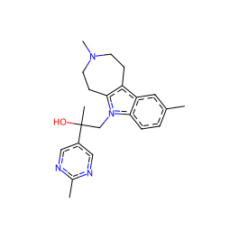 Cc1ccc2c(c1)c1c(n2CC(C)(O)c2cnc(C)nc2)CCN(C)CC1